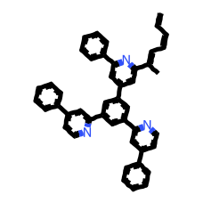 C=C/C=C\C=C(/C)c1cc(-c2cc(-c3cc(-c4ccccc4)ccn3)cc(-c3cc(-c4ccccc4)ccn3)c2)cc(-c2ccccc2)n1